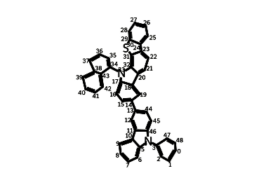 c1ccc(-n2c3ccccc3c3cc(-c4ccc5c(c4)c4ccc6c7ccccc7sc6c4n5-c4cccc5ccccc45)ccc32)cc1